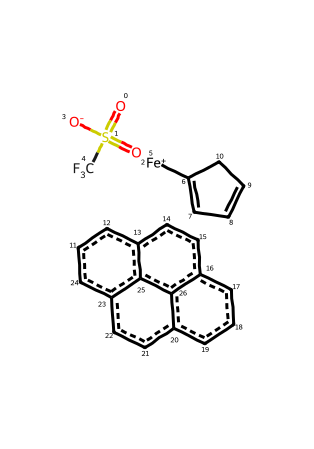 O=S(=O)([O-])C(F)(F)F.[Fe+][C]1=CC=CC1.c1cc2ccc3cccc4ccc(c1)c2c34